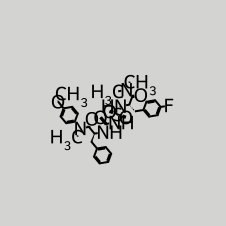 COc1ccc(N(C)C(=O)[C@H](Cc2ccccc2)NC(=O)NS(=O)(=O)N[C@@H](Cc2ccc(F)cc2)C(=O)N(C)C)cc1